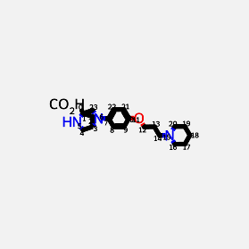 O=C(O)C12CC(CN1)N(c1ccc(OCCCN3CCCCC3)cc1)C2